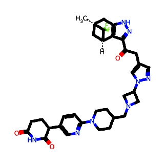 C[C@@]12Cc3[nH]nc(C(=O)Cc4cnn(C5CN(CC6CCN(c7ccc(C8CCC(=O)NC8=O)cn7)CC6)C5)c4)c3[C@@H](C1)C2(F)F